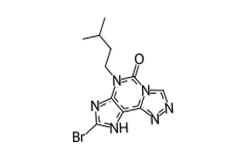 CC(C)CCn1c(=O)n2cnnc2c2[nH]c(Br)nc21